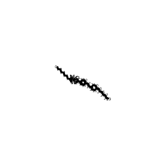 CCCCCCCCc1cn2cc(-c3ccc(CCC4CCC(CCCCCCC)CC4)cc3)sc2n1